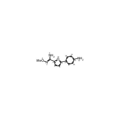 CON=C(N)c1ccc(-c2ccc(N)cc2)o1